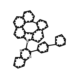 c1ccc(-c2ccc(-c3nc4ccccc4nc3-n3c4ccc5cccc6c5c4c4c5c(ccc7cccc-6c75)ccc43)cc2)cc1